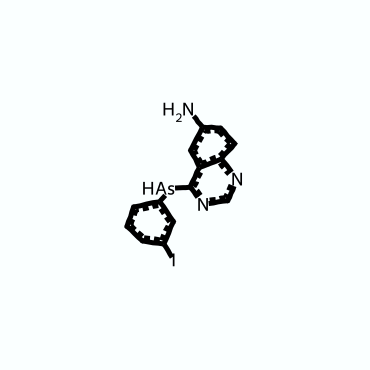 Nc1ccc2ncnc([AsH]c3cccc(I)c3)c2c1